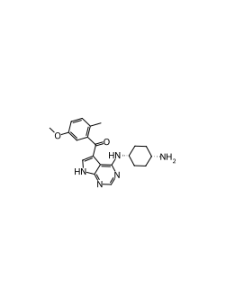 COc1ccc(C)c(C(=O)c2c[nH]c3ncnc(N[C@H]4CC[C@@H](N)CC4)c23)c1